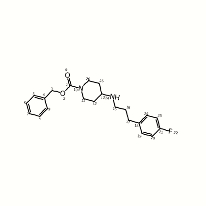 O=C(OCc1ccccc1)N1CCC(NCCCc2ccc(F)cc2)CC1